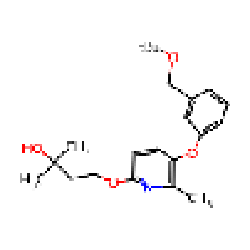 Cc1nc(OCCC(C)(C)O)ccc1Oc1cccc(COC(C)(C)C)c1